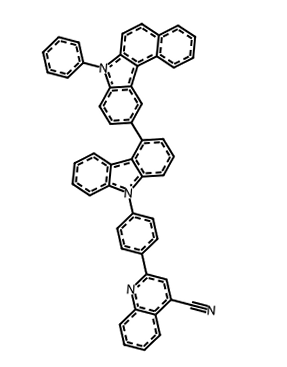 N#Cc1cc(-c2ccc(-n3c4ccccc4c4c(-c5ccc6c(c5)c5c7ccccc7ccc5n6-c5ccccc5)cccc43)cc2)nc2ccccc12